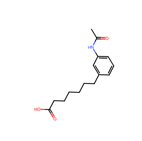 CC(=O)Nc1cccc(CCCCCCC(=O)O)c1